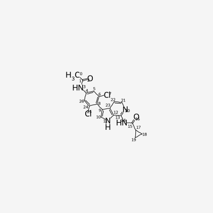 CC(=O)Nc1cc(Cl)c(-c2c[nH]c3c(NC(=O)C4CC4)nccc23)c(Cl)c1